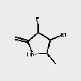 C=C1NC(C)C(CC)C1F